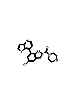 O=C([C@H]1Cc2cc(Cl)cc(-c3ccnc4ccsc34)c2O1)N1CCNCC1